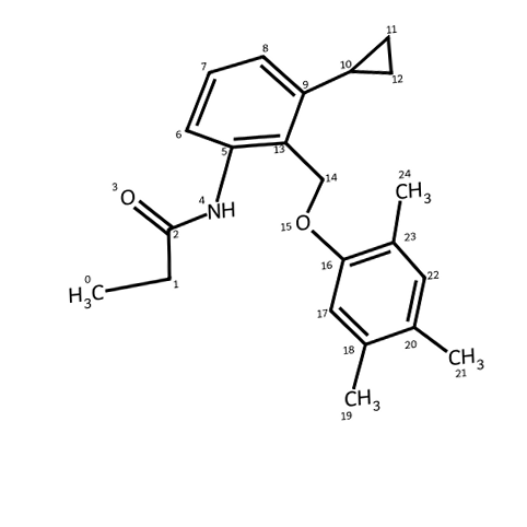 CCC(=O)Nc1cccc(C2CC2)c1COc1cc(C)c(C)cc1C